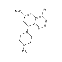 COc1cc(N2CCN(C)CC2)c2nccc(C(C)C)c2c1